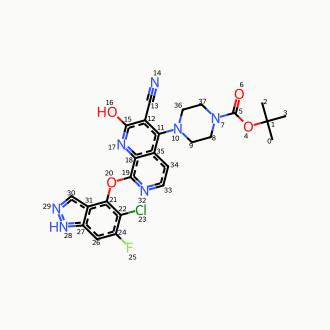 CC(C)(C)OC(=O)N1CCN(c2c(C#N)c(O)nc3c(Oc4c(Cl)c(F)cc5[nH]ncc45)nccc23)CC1